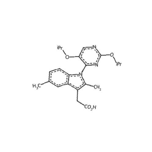 Cc1ccc2c(c1)c(CC(=O)O)c(C)n2-c1nc(OC(C)C)ncc1OC(C)C